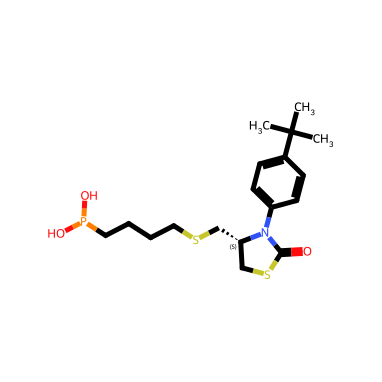 CC(C)(C)c1ccc(N2C(=O)SC[C@@H]2CSCCCCP(O)O)cc1